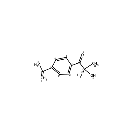 C=C(C)c1ccc(C(=O)C(C)(C)O)cc1